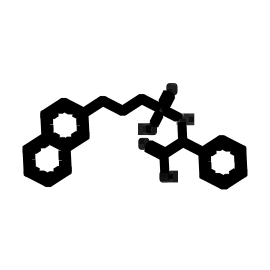 O=C(O)C(NP(=O)(O)CCCc1ccc2ccccc2c1)c1ccccc1